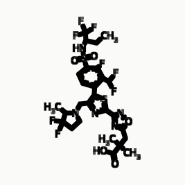 CCC(NS(=O)(=O)c1ccc(-c2sc(-c3noc(CC(C)(C)C(=O)O)n3)nc2CN2CCC(F)(F)C2C)c(C(F)F)c1F)C(F)(F)F